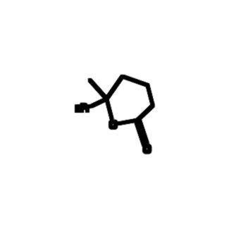 CCCC1(C)CCCC(=O)O1